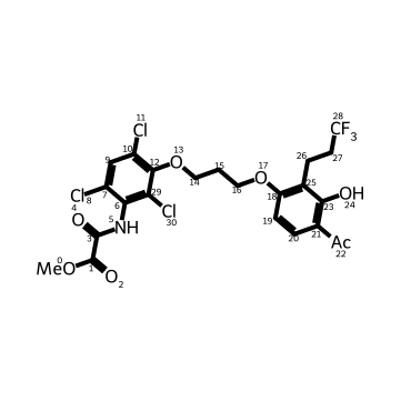 COC(=O)C(=O)Nc1c(Cl)cc(Cl)c(OCCCOc2ccc(C(C)=O)c(O)c2CCC(F)(F)F)c1Cl